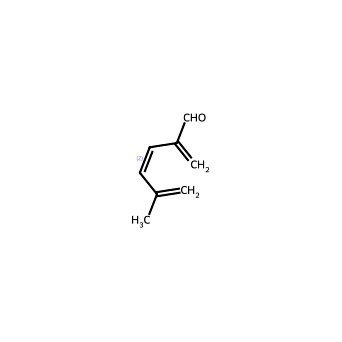 C=C(C)/C=C\C(=C)C=O